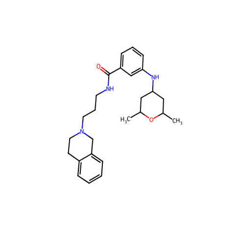 CC1CC(Nc2cccc(C(=O)NCCCN3CCc4ccccc4C3)c2)CC(C)O1